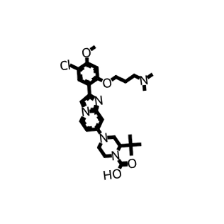 COc1cc(OCCCN(C)C)c(-c2cn3ccc(N4CCN(C(=O)O)C(C(C)(C)C)C4)cc3n2)cc1Cl